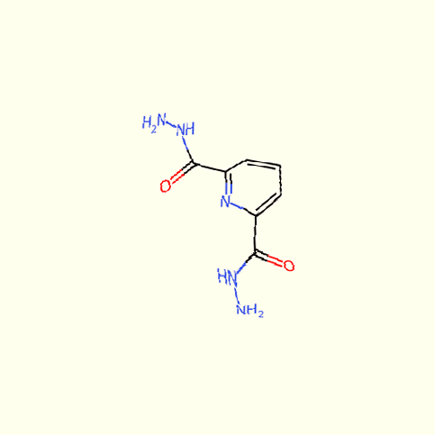 NNC(=O)c1cccc(C(=O)NN)n1